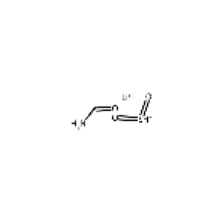 NC=O.O=[SH-]=O.[Li+]